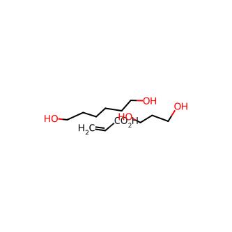 C=CC(=O)O.OCCCCCCO.OCCCO